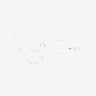 N[C@H]1CC[C@H](Nc2ncnc3sc4c(c23)CCCC4)CC1